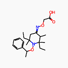 CCC1(C)C/C(=N/OCC(=O)O)C(C)C(C)(CC)N1OC(C)c1ccccc1